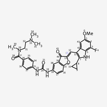 COc1cc(F)c2[nH]c(C3CC3)c(/C=C3\Oc4ccc(NC(=O)Nc5ccc(C(=O)N(C)CCN(C)C)cc5)cc4C3=O)c2c1